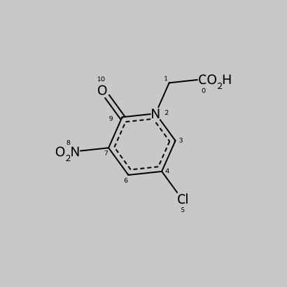 O=C(O)Cn1cc(Cl)cc([N+](=O)[O-])c1=O